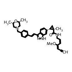 C#C/C=C(\C=C/CNC(=O)[C@]1(C)C[C@H]1c1ccc2c(/C=C/c3ccc(CN4C[C@@H](C)O[C@@H](C)C4)cc3)n[nH]c2c1)OC